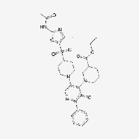 CCOC(=O)C1CCCN(c2c(N3CCN(S(=O)(=O)c4sc(NC(C)=O)nc4C)CC3)cnn(-c3ccccc3)c2=O)C1